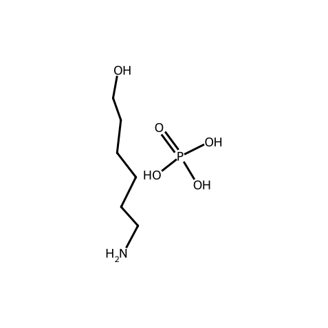 NCCCCCCO.O=P(O)(O)O